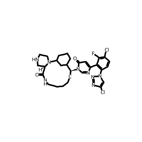 O=C1NCCCCC[C@H](n2cnc(-c3c(-n4cc(Cl)nn4)ccc(Cl)c3F)cc2=O)C2CCCC(C2)N2CCNC[C@H]12